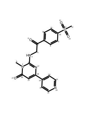 Cn1c(NCC(=O)c2ccc(S(C)(=O)=O)cc2)nc(-c2ccncc2)cc1=O